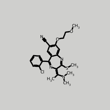 COCCOc1cc2c(cc1C#N)C(c1ccccc1Cl)=NC(=C(C)N(C)C)C(SC)=N2